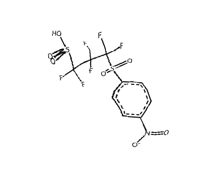 O=[N+]([O-])c1ccc(S(=O)(=O)C(F)(F)C(F)(F)C(F)(F)S(=O)(=O)O)cc1